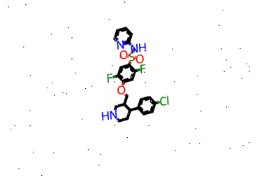 O=S(=O)(Nc1ccccn1)c1cc(F)c(OCC2CNCCC2c2ccc(Cl)cc2)cc1F